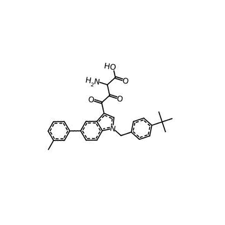 Cc1cccc(-c2ccc3c(c2)c(C(=O)C(=O)C(N)C(=O)O)cn3Cc2ccc(C(C)(C)C)cc2)c1